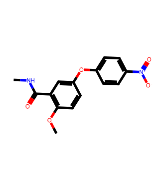 CNC(=O)c1cc(Oc2ccc([N+](=O)[O-])cc2)ccc1OC